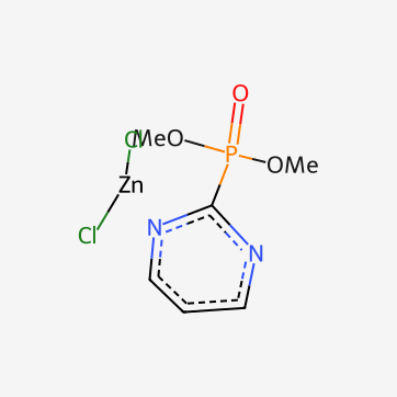 COP(=O)(OC)c1ncccn1.[Cl][Zn][Cl]